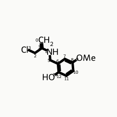 C=C(CCl)NCc1cc(OC)ccc1O